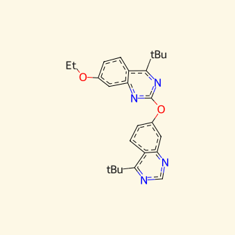 CCOc1ccc2c(C(C)(C)C)nc(Oc3ccc4c(C(C)(C)C)ncnc4c3)nc2c1